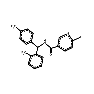 O=C(NC(c1ccc(C(F)(F)F)cc1)c1ncccc1C(F)(F)F)c1ccc(Cl)nc1